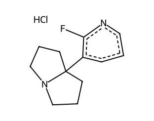 Cl.Fc1ncccc1C12CCCN1CCC2